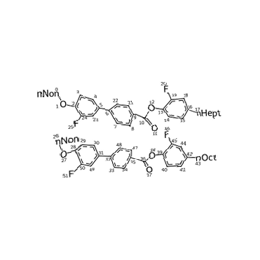 CCCCCCCCCOc1ccc(-c2ccc(C(=O)Oc3ccc(CCCCCCC)cc3F)cc2)cc1F.CCCCCCCCCOc1ccc(-c2ccc(C(=O)Oc3ccc(CCCCCCCC)cc3F)cc2)cc1F